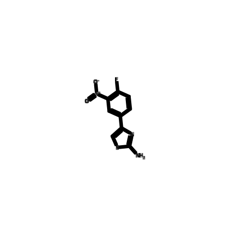 Nc1nc(-c2ccc(F)c([N+](=O)[O-])c2)cs1